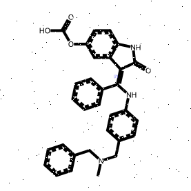 CN(Cc1ccccc1)Cc1ccc(N/C(=C2\C(=O)Nc3ccc(OC(=O)O)cc32)c2ccccc2)cc1